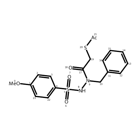 COc1ccc(S(=O)(=O)NN(Cc2ccccc2)C(=O)CSC(C)=O)cc1